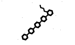 CCCCc1ccccc1-c1ccc(-c2ccc(-c3ccc(-c4ccccc4)cc3)cc2)cc1